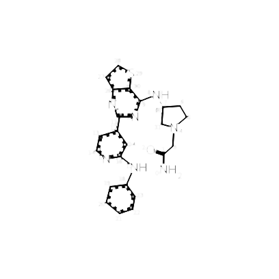 NC(=O)CN1CC[C@@H](Nc2nc(-c3ccnc(Nc4ccccc4)c3)nc3ccsc23)C1